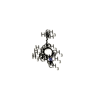 CONNCCCCCC(=O)O[C@H]1[C@@H](C)CCC[C@@]2(C)O[C@H]2C[C@@H](/C(C)=C/c2csc(C)n2)NC(=O)C[C@H](O[Si](C)(C)C(C)(C)C)C(C)(C)C(=O)[C@@H]1C